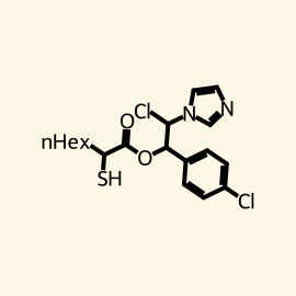 CCCCCCC(S)C(=O)OC(c1ccc(Cl)cc1)C(Cl)n1ccnc1